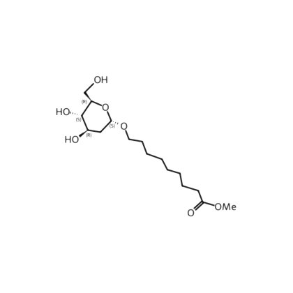 COC(=O)CCCCCCCCO[C@@H]1C[C@@H](O)[C@H](O)[C@@H](CO)O1